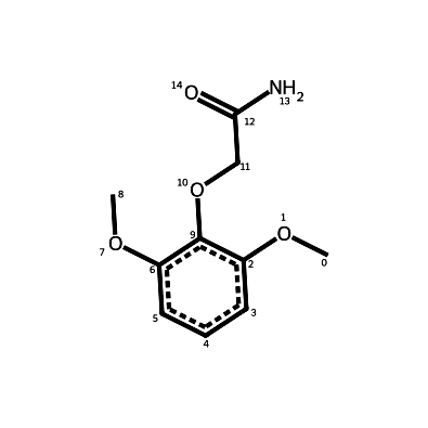 COc1cccc(OC)c1OCC(N)=O